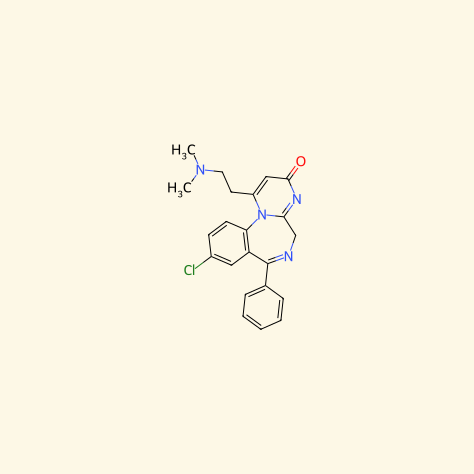 CN(C)CCc1cc(=O)nc2n1-c1ccc(Cl)cc1C(c1ccccc1)=NC2